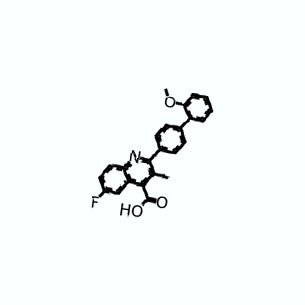 COc1ccccc1-c1ccc(-c2nc3ccc(F)cc3c(C(=O)O)c2C)cc1